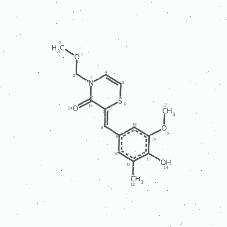 COCN1C=CS/C(=C\c2cc(C)c(O)c(OC)c2)C1=O